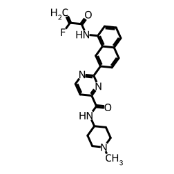 C=C(F)C(=O)Nc1cccc2ccc(-c3nccc(C(=O)NC4CCN(C)CC4)n3)cc12